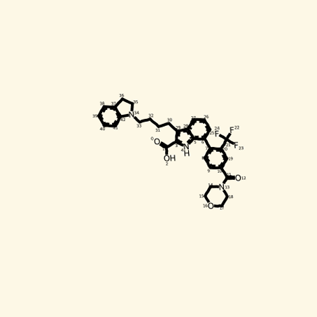 O=C(O)c1[nH]c2c(-c3ccc(C(=O)N4CCOCC4)cc3C(F)(F)F)cccc2c1CCCCN1CCc2ccccc21